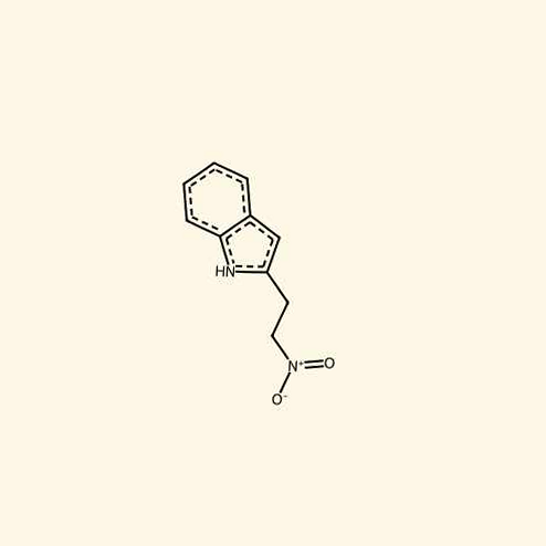 O=[N+]([O-])CCc1cc2ccccc2[nH]1